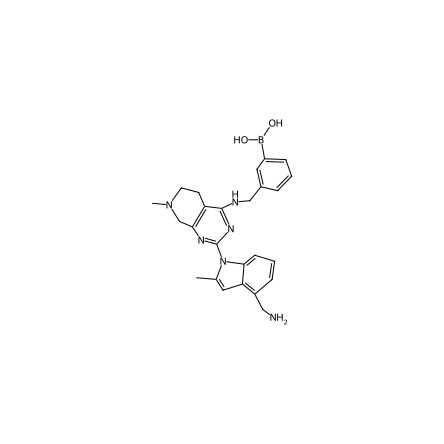 Cc1cc2c(CN)cccc2n1-c1nc2c(c(NCc3cccc(B(O)O)c3)n1)CCN(C)C2